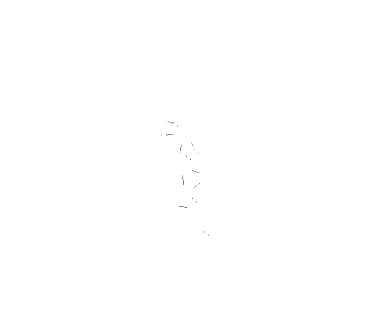 CC1OC(Cc2nc(-c3cnn(-c4ccc(N5C[C@H](CNC=O)OC5=O)cc4F)c3)no2)O1